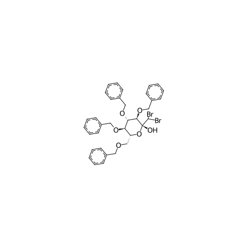 O[C@@]1(C(Br)Br)O[C@H](COCc2ccccc2)[C@@H](OCc2ccccc2)[C@H](OCc2ccccc2)[C@H]1OCc1ccccc1